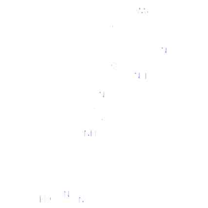 COC(=O)c1cncc(NC(=O)Cn2ccc3cccc(Nc4ccc5c(cnn5C)c4)c3c2=O)c1